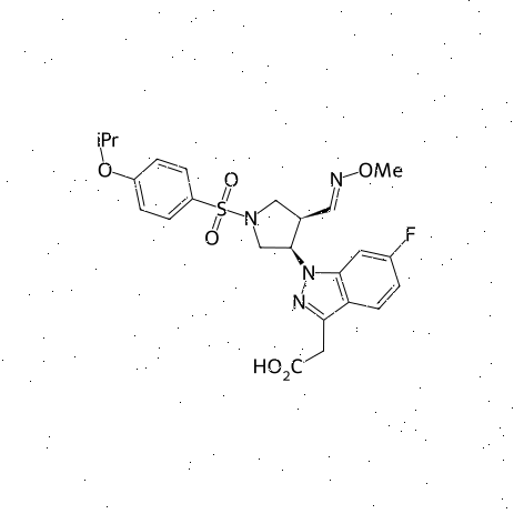 CON=C[C@@H]1CN(S(=O)(=O)c2ccc(OC(C)C)cc2)C[C@@H]1n1nc(CC(=O)O)c2ccc(F)cc21